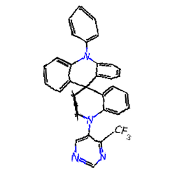 FC(F)(F)c1ncncc1N1c2ccccc2C2(c3ccccc3N(c3ccccc3)c3ccccc32)c2ccccc21